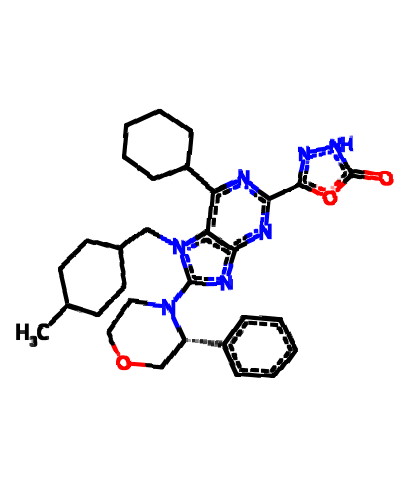 CC1CCC(Cn2c(N3CCOC[C@H]3c3ccccc3)nc3nc(-c4n[nH]c(=O)o4)nc(C4CCCCC4)c32)CC1